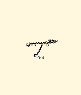 CCCCC/C=C\C/C=C\CCCCCCCCN(CCCCCCCC/C=C\C/C=C\CCCCC)CCOC(=O)[C@@H](N)Cc1c[nH]cn1